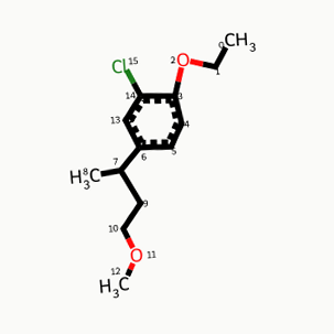 CCOc1ccc([C](C)CCOC)cc1Cl